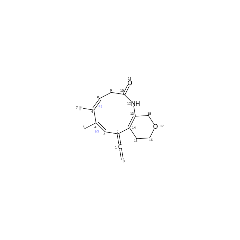 C=C=C1/C=C(C)\C(F)=C/CC(=O)NC2=C1CCOC2